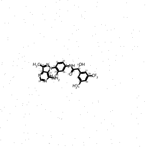 Cc1cc([C@@H](O)C(=O)Nc2ccc(-n3nc(C)c4ncnc(N)c43)c(C)c2)cc(C(F)(F)F)c1